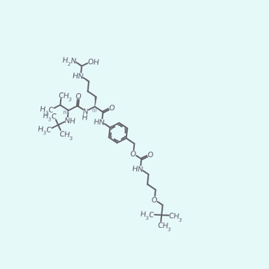 CC(C)[C@H](NC(C)(C)C)C(=O)N[C@@H](CCCNC(N)O)C(=O)Nc1ccc(COC(=O)NCCCOCC(C)(C)C)cc1